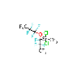 FC(F)(F)C(F)(F)C(F)(F)OC(F)(C(F)(F)C(F)(F)F)[Si](Cl)(Cl)C(F)(F)F